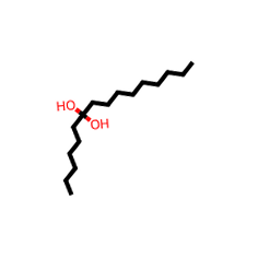 CCCCCCCCCC(O)(O)CCCCCC